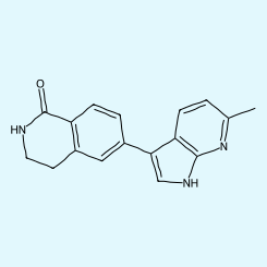 Cc1ccc2c(-c3ccc4c(c3)CCNC4=O)c[nH]c2n1